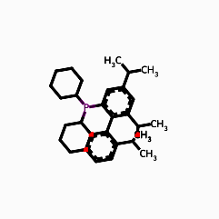 CC(C)c1cc(C(C)C)c(-c2ccccc2C(C)C)c(P(C2CCCCC2)C2CCCCC2)c1